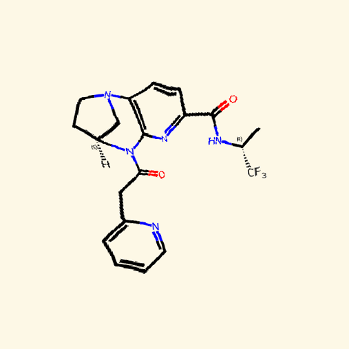 C[C@@H](NC(=O)c1ccc2c(n1)N(C(=O)Cc1ccccn1)[C@H]1CCN2C1)C(F)(F)F